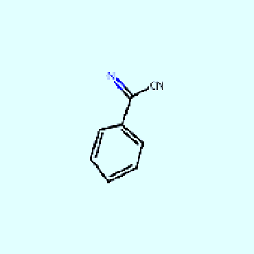 [N]=C(C#N)c1ccccc1